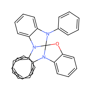 c1ccc(N2c3ccccc3OC23N(c2ccccc2)c2ccccc2N3c2ccccc2)cc1